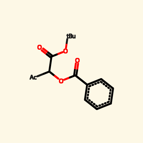 CC(=O)C(OC(=O)c1ccccc1)C(=O)OC(C)(C)C